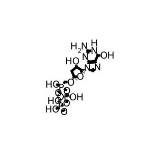 NC1=Nc2c(ncn2[C@@H]2O[C@H](OCP(=O)(O)OP(=O)(O)OP(=O)(O)O)CC2O)C(O)N1